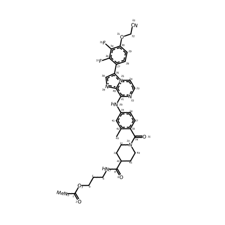 CNC(=O)OCCCNC(=O)C1CCN(C(=O)c2ccc(Nc3nccn4c(-c5ccc(OCC#N)c(F)c5F)cnc34)cc2C)CC1